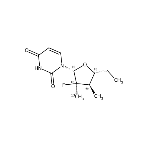 CC[C@H]1O[C@@H](n2ccc(=O)[nH]c2=O)[C@]([13CH3])(F)[C@@H]1C